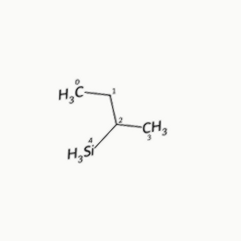 CCC(C)[SiH3]